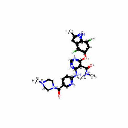 Cc1cc2c(F)c(Oc3ncnc(Nc4ccc(C(=O)N5CCN(C)CC5)cn4)c3C(=O)N(C)C)cc(F)c2[nH]1